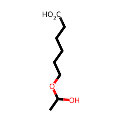 CC(O)OCCCCCC(=O)O